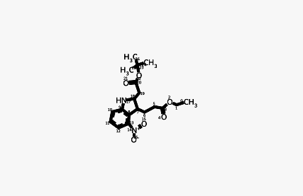 CCOC(=O)CCC1c2c(cccc2[N+](=O)[O-])NC1CC(=O)OC(C)(C)C